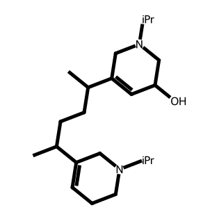 CC(CCC(C)C1=CC(O)CN(C(C)C)C1)C1=CCCN(C(C)C)C1